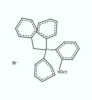 CCCCCCCCc1ccccc1[P+](Cc1ccccc1)(c1ccccc1)c1ccccc1.[Br-]